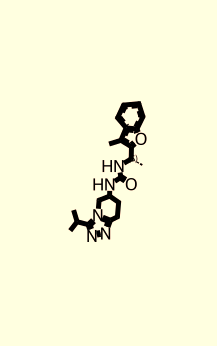 Cc1c([C@H](C)NC(=O)NC2CCc3nnc(C(C)C)n3C2)oc2ccccc12